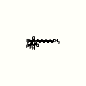 CCCCCCCCCn1c(=O)[nH]c(C(F)(F)F)c(Br)c1=O